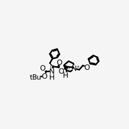 CC(C)(C)OC(=O)N[C@@H](Cc1ccccc1)C(=O)O[C@H]1C[N+]2(CCOc3ccccc3)CCC1CC2